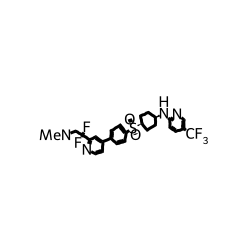 CNCC(F)(F)c1cc(-c2ccc(S(=O)(=O)[C@H]3CC[C@H](Nc4ccc(C(F)(F)F)cn4)CC3)cc2)ccn1